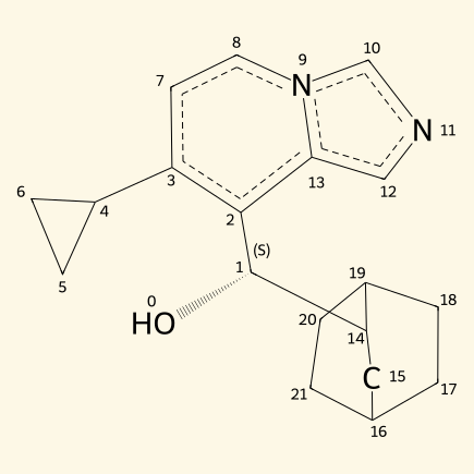 O[C@H](c1c(C2CC2)ccn2cncc12)C1CC2CCC1CC2